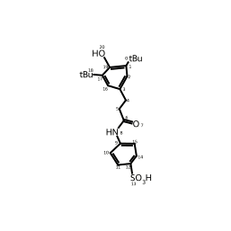 CC(C)(C)c1cc(CCC(=O)Nc2ccc(S(=O)(=O)O)cc2)cc(C(C)(C)C)c1O